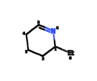 CCC1CCCC=N1